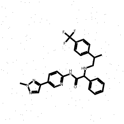 CC(CNC(C(=O)Nc1ccc(-c2cnn(C)n2)cn1)c1ccccc1)c1ccc(C(F)(F)F)cc1